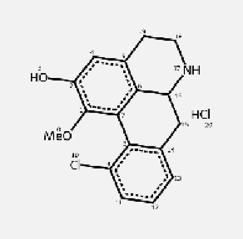 COc1c(O)cc2c3c1-c1c(Cl)cccc1CC3NCC2.Cl